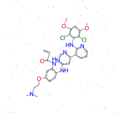 C=CC(=O)Nc1cc(OCCN(C)C)ccc1Nc1cc(-c2cccnc2Nc2c(Cl)c(OC)cc(OC)c2Cl)ncn1